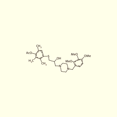 COc1ccc(CN2CCN(CC(O)CSc3cc(C)c(OC(C)=O)c(C)c3C)CC2)c(OC)c1OC